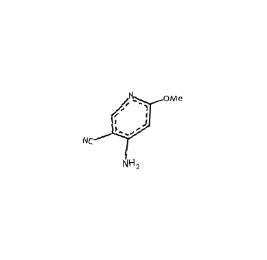 COc1cc(N)c(C#N)cn1